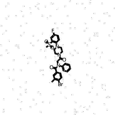 Cc1cc(C(=O)N(CC(=O)N2CCN(c3ccc(F)cc3S(C)(=O)=O)CC2)c2ccccc2)ccc1Br